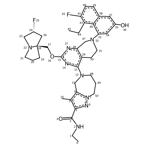 CCNC(=O)c1nn2c(c1C)CN(c1nc(OC[C@@]34CCCN3C[C@H](F)C4)nc3c1CCN(c1cc(O)cc4ccc(F)c(CC)c14)C3)CCC2